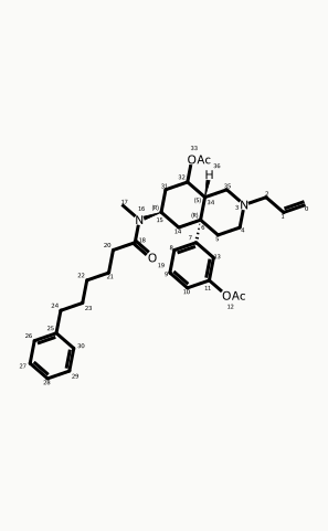 C=CCN1CC[C@@]2(c3cccc(OC(C)=O)c3)C[C@@H](N(C)C(=O)CCCCCc3ccccc3)CC(OC(C)=O)[C@@H]2C1